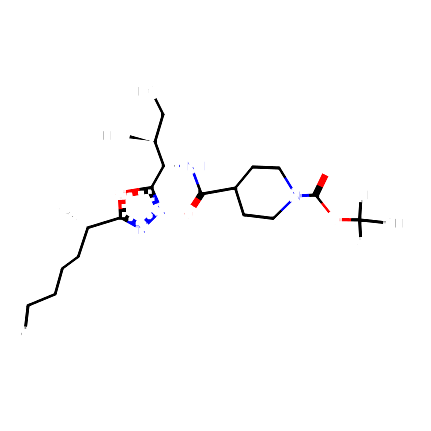 CCCCC[C@H](C)c1nnc([C@@H](NC(=O)C2CCN(C(=O)OC(C)(C)C)CC2)[C@@H](C)CC)o1